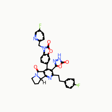 O=C1c2c(nc(CCc3ccc(F)cc3)c(-c3n[nH]c(=O)o3)c2-c2ccc3c(c2)oc(=O)n3Cc2ccc(F)cn2)[C@@H]2CCCN12